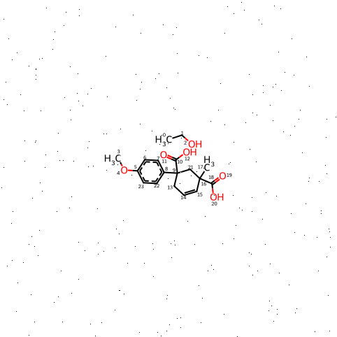 CCO.COc1ccc(C2(C(=O)O)CC=CC(C)(C(=O)O)C2)cc1